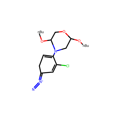 CCCCOC1CN(C2=CCC(=[N+]=[N-])C=C2Cl)C(OCCCC)CO1